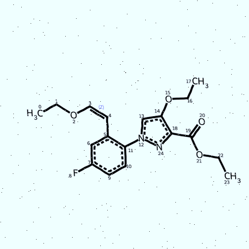 CCO/C=C\c1cc(F)ccc1-n1cc(OCC)c(C(=O)OCC)n1